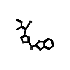 C=N/C(C)=C(\SCC)c1csc(Nc2nc3ccccc3s2)n1